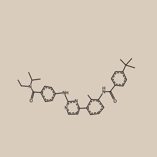 CCN(C(=O)c1ccc(Nc2nccc(-c3cccc(NC(=O)c4ccc(C(C)(C)C)cc4)c3C)n2)cc1)C(C)C